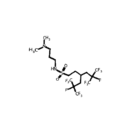 CN(C)CCCNS(=O)(=O)CCC(CC(F)(C(F)(F)F)C(F)(F)F)CC(F)(C(F)(F)F)C(F)(F)F